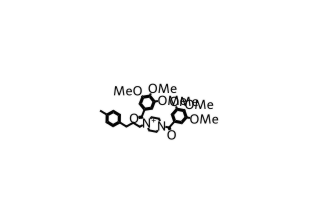 COc1cc(C(=O)N2CC[N+](CCCc3ccc(C)cc3)(C(=O)c3cc(OC)c(OC)c(OC)c3)CC2)cc(OC)c1OC